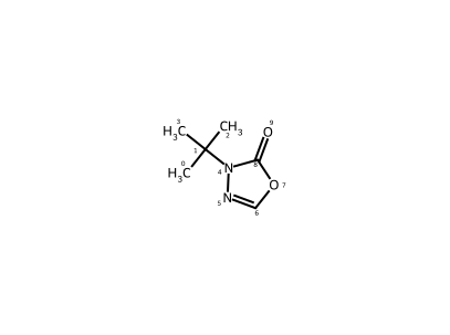 CC(C)(C)n1ncoc1=O